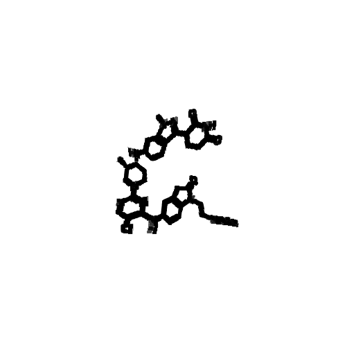 CNCCN1C(=O)Cc2cc(Nc3nc(N4CC[C@@H](Nc5ccc6c(C7CCC(=O)NC7=O)nn(C)c6c5)[C@H](C)C4)ncc3Cl)ccc21